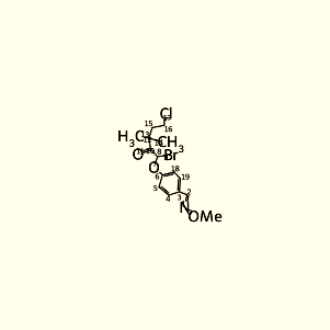 CON=Cc1ccc(OC(Br)C(=O)C(C)(C)CCCl)cc1